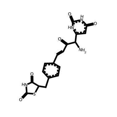 NC(C(=O)C=Cc1ccc(CC2SC(=O)NC2=O)cc1)c1cc(=O)[nH]c(=O)[nH]1